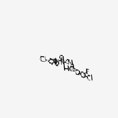 O=C(NC1CCN(CC(O)COc2ccc(Cl)c(F)c2)C1)c1cc2cc(Cl)ccc2o1